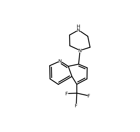 FC(F)(F)c1ccc(N2CCNCC2)c2ncccc12